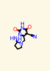 N#Cc1c(CN2CCCC2=N)[nH]c(=O)[nH]c1=O